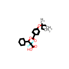 CCC(C)(CC)Oc1ccc(C(=O)OC(C2CCCCC2)C(F)(F)C(=O)O)cc1